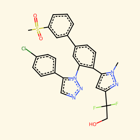 Cn1nc(C(F)(F)CO)cc1-c1ccc(-c2cccc(S(C)(=O)=O)c2)cc1-n1nncc1-c1ccc(Cl)cc1